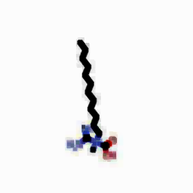 CCCCCCCCCCCC[N+](C)(C(=N)N)C(=O)O